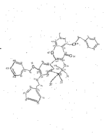 Cc1cc(OCc2ccccc2)c2c(=O)c(O[Si](C)(C)C(C)(C)C)c(-c3ccc(OCc4ccccc4)c(OCc4ccccc4)c3)oc2c1